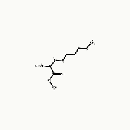 CCCCCC(SCCCCCC(F)(F)F)C(=O)OC(C)(C)C